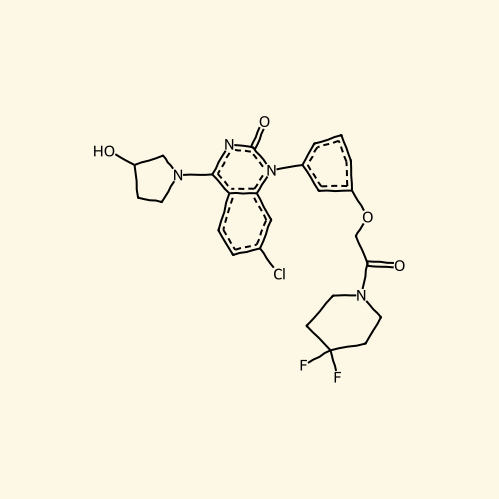 O=C(COc1cccc(-n2c(=O)nc(N3CCC(O)C3)c3ccc(Cl)cc32)c1)N1CCC(F)(F)CC1